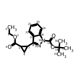 CCOC(=O)C1CC1c1nn(C(=O)OC(C)(C)C)c2ccccc12